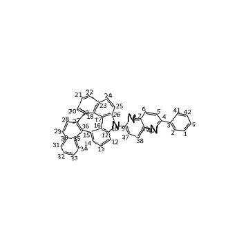 c1ccc(-c2ccc3nc(-n4c5cccc6c5c5c7c(cccc7ccc54)-c4ccc5ccccc5c4-6)ccc3n2)cc1